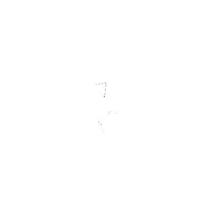 CNC(=O)[C@H]1CO1